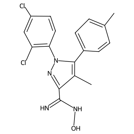 Cc1ccc(-c2c(C)c(C(=N)NO)nn2-c2ccc(Cl)cc2Cl)cc1